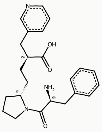 N[C@@H](Cc1ccccc1)C(=O)N1CCC[C@@H]1CC[C@@H](Cc1cccnc1)C(=O)O